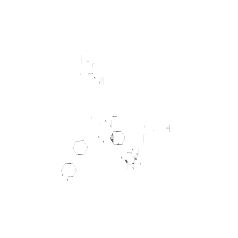 CC(C)(C)OC(=O)NC[C@H]1CC[C@H](C(=O)N(C(=O)[C@@H](N)Cc2ccc(-c3ccncc3)cc2)c2ccc(-c3nn[nH]n3)cc2)CC1.O=C(O)C(F)(F)F